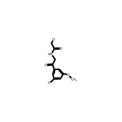 COc1cc(Cl)cc(C(=O)CNC(=O)CCl)c1